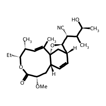 CC[C@H]1OC(=O)[C@@H](OC)C[C@H]2C=C[C@@H]3C[C@]2(O[C@H]3[C@H](C#N)C(C)[C@H](C)O)/C(C)=C/[C@H]1C